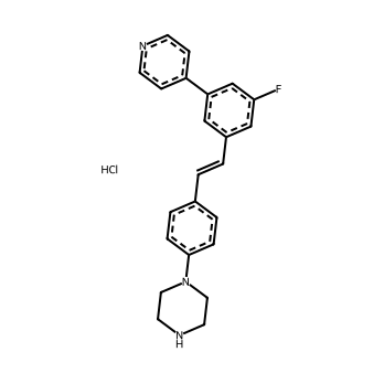 Cl.Fc1cc(/C=C/c2ccc(N3CCNCC3)cc2)cc(-c2ccncc2)c1